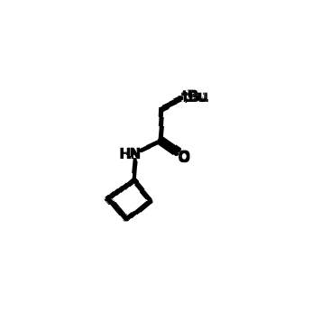 CC(C)(C)CC(=O)NC1CCC1